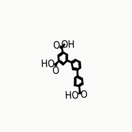 O=C(O)c1ccc(-c2cccc(-c3cc(C(=O)O)cc(C(=O)O)c3)c2)cc1